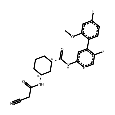 COc1cc(F)ccc1-c1cc(NC(=O)[C@H]2CCC[C@@H](NC(=O)CC#N)C2)ncc1F